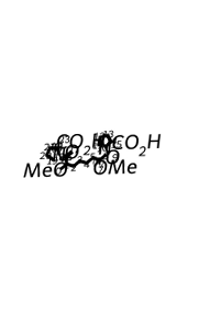 COC(CCCC[C@@H](OC)C(=O)N1CCCC1C(=O)O)C(=O)N1CCC[C@@H]1C(=O)O